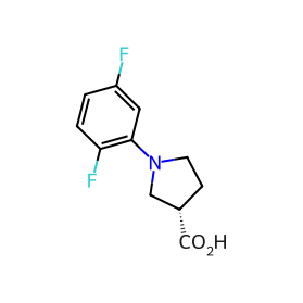 O=C(O)[C@H]1CCN(c2cc(F)ccc2F)C1